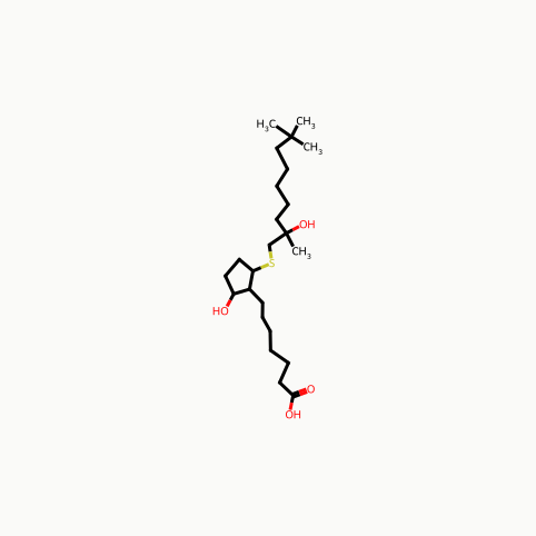 CC(C)(C)CCCCCC(C)(O)CSC1CCC(O)C1CCCCCCC(=O)O